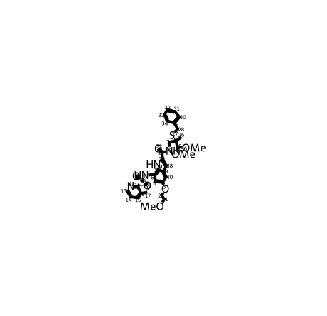 COCCOc1cc(NS(=O)(=O)c2ncccc2C)c2[nH]c(C(=O)NCC(C)(SCc3ccccc3)C(OC)OC)cc2c1